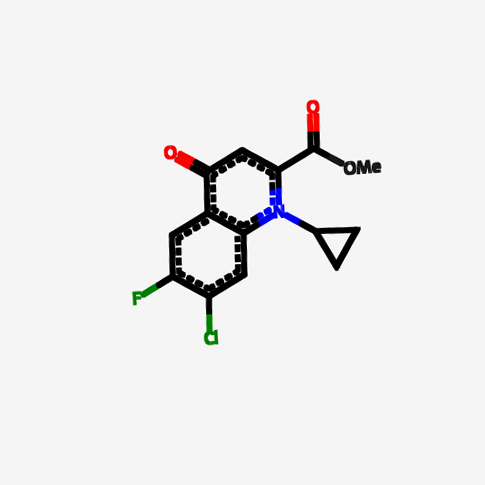 COC(=O)c1cc(=O)c2cc(F)c(Cl)cc2n1C1CC1